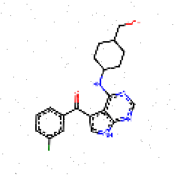 O=C(c1cccc(F)c1)c1c[nH]c2ncnc(NC3CCC(CO)CC3)c12